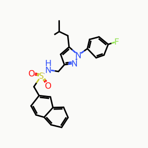 CC(C)Cc1cc(CNS(=O)(=O)Cc2ccc3ccccc3c2)nn1-c1ccc(F)cc1